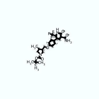 CC1CN(C(=O)OC(C)(C)C)CC1COc1ccc(-c2cc(C(N)=O)c(=O)[nH]c2C(F)(F)F)cc1